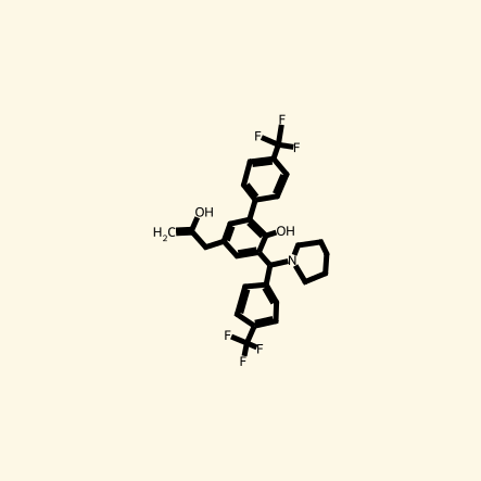 C=C(O)Cc1cc(-c2ccc(C(F)(F)F)cc2)c(O)c(C(c2ccc(C(F)(F)F)cc2)N2CCCCC2)c1